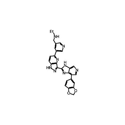 CCNCc1cncc(-c2ccc3[nH]nc(-c4nc5c(-c6ccc7c(c6)OCO7)cncc5[nH]4)c3n2)c1